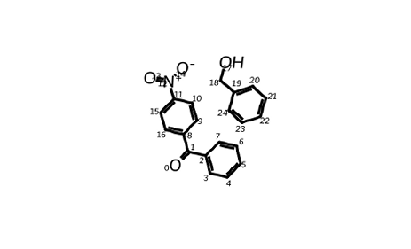 O=C(c1ccccc1)c1ccc([N+](=O)[O-])cc1.OCc1ccccc1